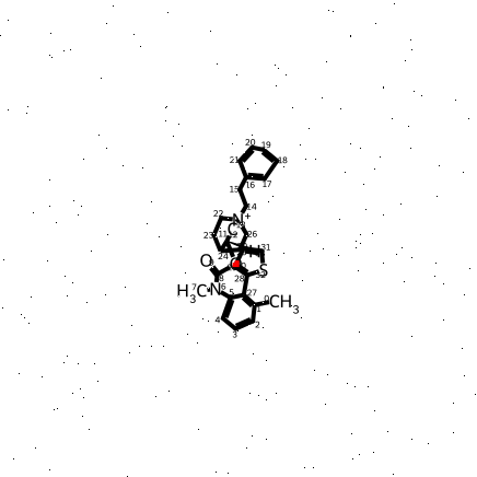 Cc1cccc(N(C)C(=O)O[C@H]2C[N+]3(CCc4ccccc4)CCC2CC3)c1-c1cccs1